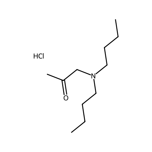 CCCCN(CCCC)CC(C)=O.Cl